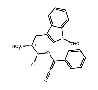 CN(OC(=C=O)c1ccccc1)[C@@H](Cc1cn(C=O)c2ccccc12)C(=O)O